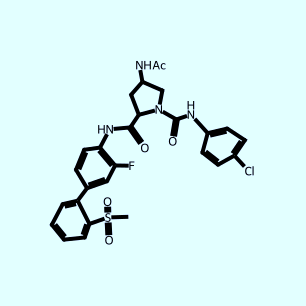 CC(=O)NC1CC(C(=O)Nc2ccc(-c3ccccc3S(C)(=O)=O)cc2F)N(C(=O)Nc2ccc(Cl)cc2)C1